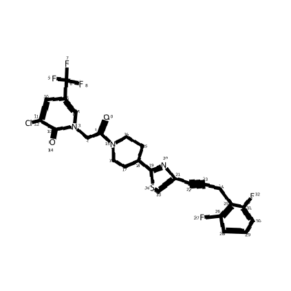 O=C(Cn1cc(C(F)(F)F)cc(Cl)c1=O)N1CCC(c2nc(C#CCc3c(F)cccc3F)cs2)CC1